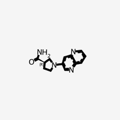 NC(=O)[C@@H]1CCN(c2cnc3cccnc3c2)C1